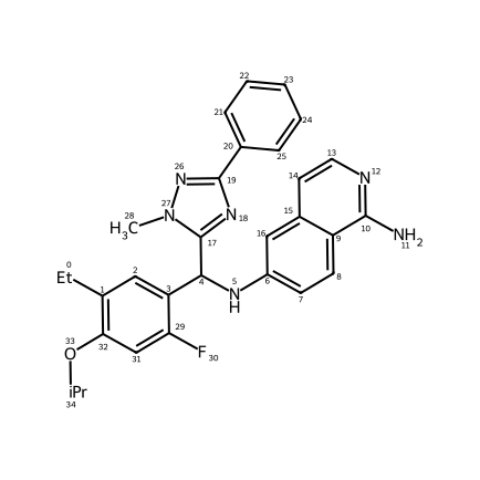 CCc1cc(C(Nc2ccc3c(N)nccc3c2)c2nc(-c3ccccc3)nn2C)c(F)cc1OC(C)C